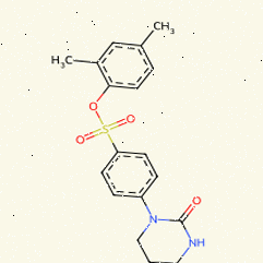 Cc1ccc(OS(=O)(=O)c2ccc(N3CCCNC3=O)cc2)c(C)c1